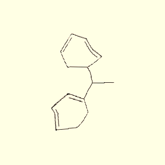 CC(C1=CC=CCC1)C1C=CC=CC1